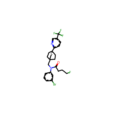 O=C(CCCF)N(CC12CCC(c3ccc(C(F)(F)F)cn3)(CC1)CC2)c1cccc(Br)c1